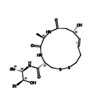 CC[C@@H](C)[C@@H](NC(=O)[C@H]1CSSCC/C=C/[C@@H](O)CC(=O)N[C@H](C)C(=O)N1)[C@@H](O)CC